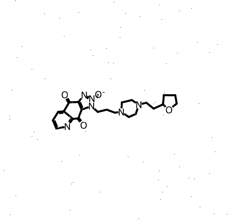 O=C1c2cccnc2C(=O)c2c1n[n+]([O-])n2CCCN1CCN(CCC2CCCO2)CC1